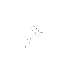 COc1cccc(CCN2C(=O)c3c(F)ccc(F)c3C2(O)c2ccc(F)cc2)c1